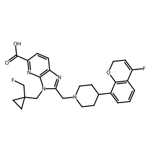 O=C(O)c1ccc2nc(CN3CCC(c4cccc5c4OCC=C5F)CC3)n(CC3(CF)CC3)c2n1